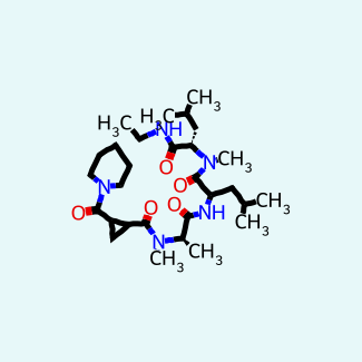 CCNC(=O)[C@H](CC(C)C)N(C)C(=O)C(CC(C)C)NC(=O)[C@@H](C)N(C)C(=O)C1CC1C(=O)N1CCCCC1